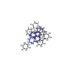 C1=CCCC(c2cccc(-c3nc(-c4ccccc4)nc(-c4cccc(-c5ccccc5)c4-n4c5ccccc5c5ccncc54)n3)c2-n2c3ccccc3c3ccncc32)=C1